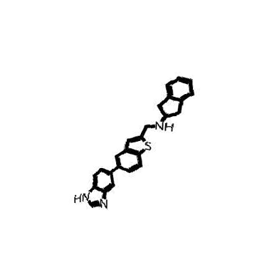 c1ccc2c(c1)CC(NCc1cc3cc(-c4ccc5[nH]cnc5c4)ccc3s1)C2